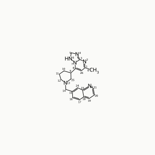 CC1=NC2=NCNN2C(C2CCCN(Cc3ccc4cccnc4c3)C2)=C1